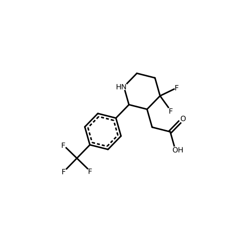 O=C(O)CC1C(c2ccc(C(F)(F)F)cc2)NCCC1(F)F